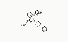 CC[C@H](C)COC(=O)N1CCC[C@H](c2cc[nH]n2)[C@@H]1CO[C@H]1CC[C@@H](c2ccccc2)CC1